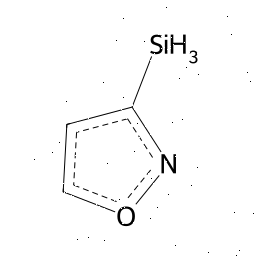 [SiH3]c1ccon1